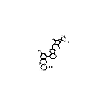 Cc1cc(Cl)cc(-c2ccnc3cc(CN4C(=O)C5C(C4=O)C5(C)C)sc23)c1CN1[C@@H](C)CNC[C@@H]1C